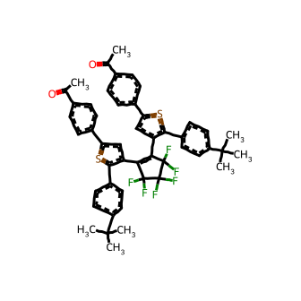 CC(=O)c1ccc(-c2cc(C3=C(c4cc(-c5ccc(C(C)=O)cc5)sc4-c4ccc(C(C)(C)C)cc4)C(F)(F)C(F)(F)C3(F)F)c(-c3ccc(C(C)(C)C)cc3)s2)cc1